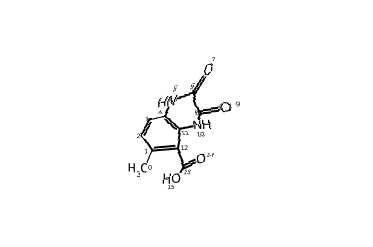 Cc1ccc2[nH]c(=O)c(=O)[nH]c2c1C(=O)O